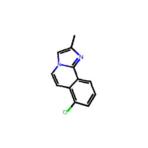 Cc1cn2ccc3c(Cl)cccc3c2n1